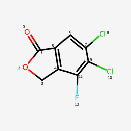 O=C1OCc2c1cc(Cl)c(Cl)c2F